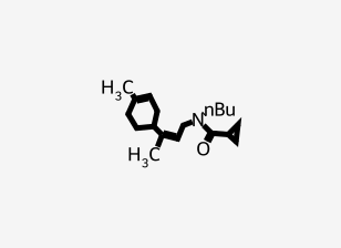 CCCCN(C/C=C(/C)C1CC=C(C)CC1)C(=O)C1CC1